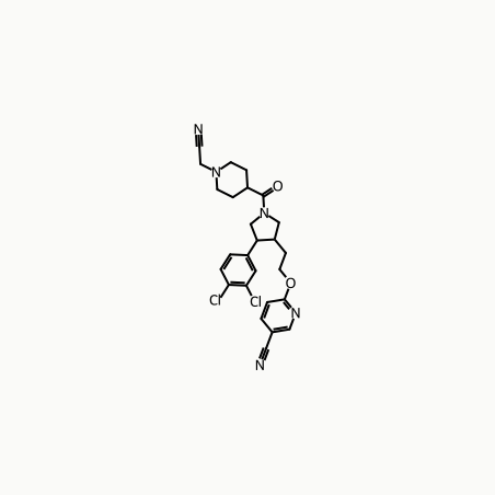 N#CCN1CCC(C(=O)N2CC(CCOc3ccc(C#N)cn3)C(c3ccc(Cl)c(Cl)c3)C2)CC1